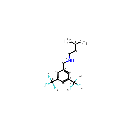 CC(C)CCNCc1cc(C(F)(F)F)cc(C(F)(F)F)c1